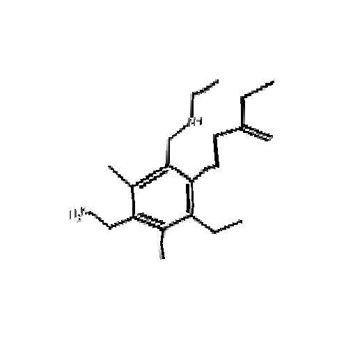 C=C(CC)CCc1c(CC)c(C)c(CN)c(C)c1CNCC